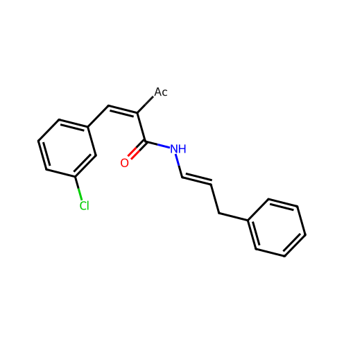 CC(=O)C(=Cc1cccc(Cl)c1)C(=O)NC=CCc1ccccc1